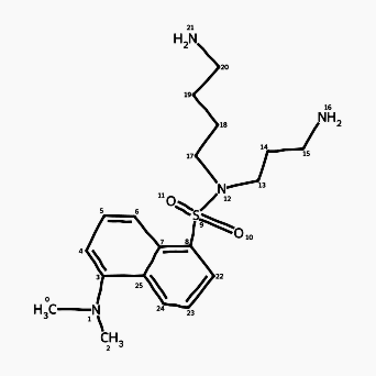 CN(C)c1cccc2c(S(=O)(=O)N(CCCN)CCCCN)cccc12